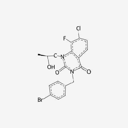 C[C@H](O)Cn1c(=O)n(Cc2ccc(Br)cc2)c(=O)c2ccc(Cl)c(F)c21